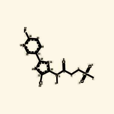 CN(C(=O)CCS(C)(=O)=O)c1sc(-c2ccc(F)nc2)nc1Cl